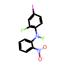 O=[N+]([O-])c1ccccc1N(F)c1ccc(I)cc1F